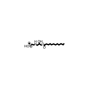 CCCCCCCCCCCC(=O)OCC(O)CNCCS(=O)(=O)O